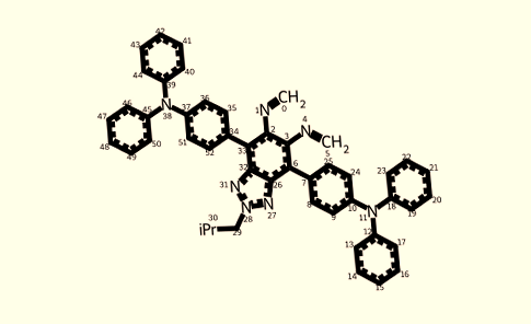 C=Nc1c(N=C)c(-c2ccc(N(c3ccccc3)c3ccccc3)cc2)c2nn(CC(C)C)nc2c1-c1ccc(N(c2ccccc2)c2ccccc2)cc1